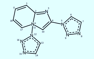 C1=CC2=NC(n3ccnn3)=C[N+]2(n2ccnn2)C=C1